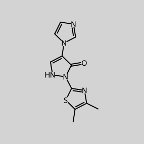 Cc1nc(-n2[nH]cc(-n3ccnc3)c2=O)sc1C